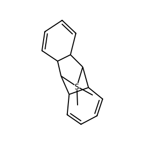 CS1(C)C2C3C=CC=CC3C1C1C=CC=CC12